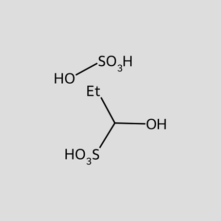 CCC(O)S(=O)(=O)O.O=S(=O)(O)O